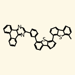 Cc1cccc2c1sc1c(-c3cccc4c3sc3c(-c5cccc(-c6cnc7c8ccccc8c8ccccc8c7n6)c5)cccc34)cccc12